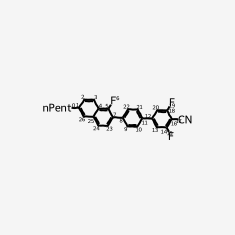 CCCCCc1ccc2c(F)c(-c3ccc(-c4cc(F)c(C#N)c(F)c4)cc3)ccc2c1